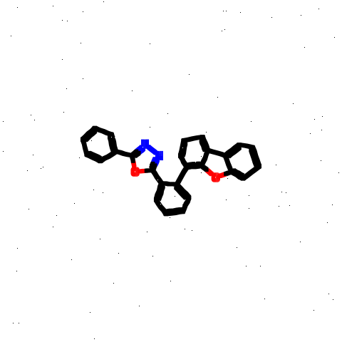 c1ccc(-c2nnc(-c3ccccc3-c3cccc4c3oc3ccccc34)o2)cc1